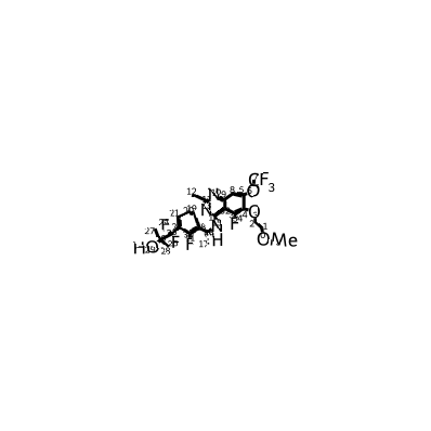 COCCOc1c(OC(F)(F)F)cc2nc(C)nc(N[C@H](C)c3cccc(C(F)(F)C(C)(C)O)c3F)c2c1F